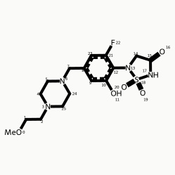 COCCN1CCN(Cc2cc(O)c(N3CC(=O)NS3(=O)=O)c(F)c2)CC1